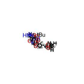 Cc1c(CCB2O[C@@H]3C[C@@H]4C[C@@H](C4(C)C)[C@]3(C)O2)ccc(OC2CN(C(=O)C(NC(=O)OC(C)(C)C)c3c[nH]nn3)C2)c1C(=O)OC(C)(C)C